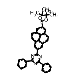 CC1(C)OB(c2cc3ccc4cc(-c5nc(-c6ccccc6)nc(-c6ccccc6)n5)cc5ccc(c2)c3c45)OC1(C)C